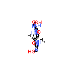 Cc1c(NC(=O)c2ccc(CN3CCC(O)C3)cn2)cccc1-c1cccc(NC(=O)c2ccc(C3=NCC(C(=O)O)N3)cn2)c1C